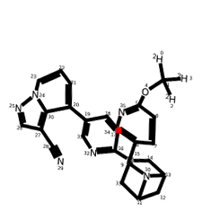 [2H]C([2H])([2H])Oc1ccc(CN2C3CC2CN(c2ccc(-c4cccn5ncc(C#N)c45)cn2)C3)cn1